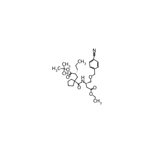 CCC[C@H](CC1(C(=O)N[C@@H](COCc2ccc(C#N)cc2)CC(=O)OCC)CCCC1)C(=O)OC(C)(C)C